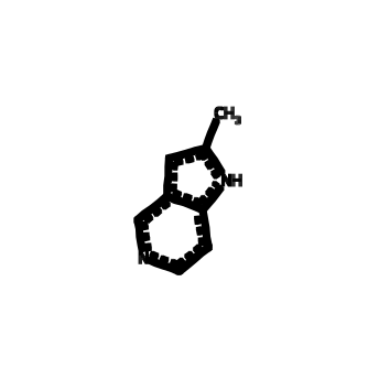 Cc1cc2cnccc2[nH]1